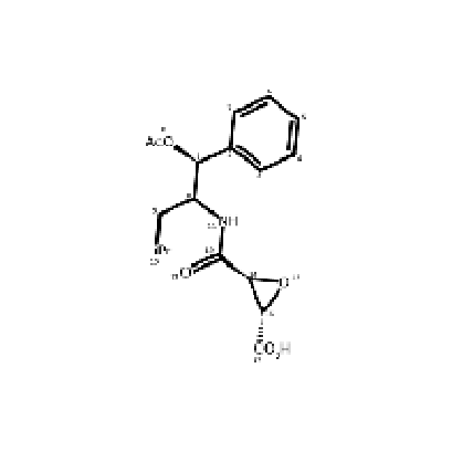 CC(=O)O[C@@H](c1ccccc1)C(CC(C)C)NC(=O)[C@H]1O[C@@H]1C(=O)O